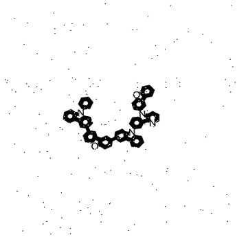 c1ccc(-n2c3ccccc3c3cc(-c4ccc5oc6ccc(-c7ccc8c(c7)c7ccccc7n8-c7ccc8c(c7)c7ncccc7n8-c7ccc8oc9ccccc9c8c7)cc6c5c4)ccc32)cc1